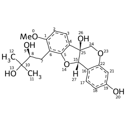 COc1ccc2c(c1C[C@H](O)C(C)(C)O)O[C@H]1c3ccc(O)cc3OC[C@@]21O